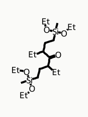 CCO[Si](C)(CCC(CC)C(=O)C(CC)CC[Si](C)(OCC)OCC)OCC